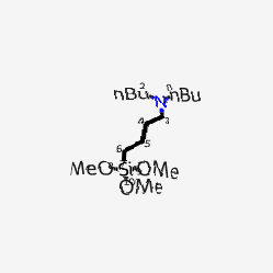 CCCCN(CCCC)CCCC[Si](OC)(OC)OC